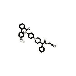 C#CCOC(=O)C(c1ccccc1)C1CCN(c2ccc(NC(=O)c3ccccc3-c3ccc(C(F)(F)F)cc3)cc2)CC1